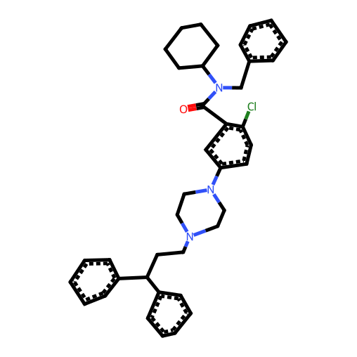 O=C(c1cc(N2CCN(CCC(c3ccccc3)c3ccccc3)CC2)ccc1Cl)N(Cc1ccccc1)C1CCCCC1